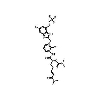 CN(C)C(=O)C=CCCC(OC(=O)N(C)C)C(=O)Nc1cccn(Cc2nc3cc(F)cc(CCC(F)(F)F)c3[nH]2)c1=O